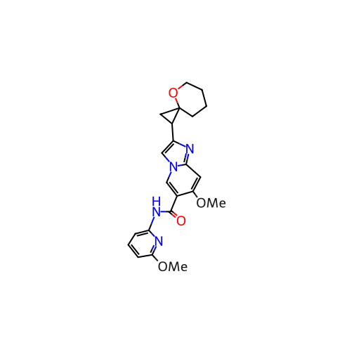 COc1cccc(NC(=O)c2cn3cc(C4CC45CCCCO5)nc3cc2OC)n1